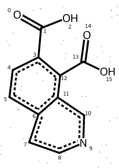 O=C(O)c1ccc2ccncc2c1C(=O)O